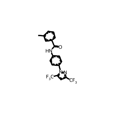 Cc1cccc(C(=O)Nc2ccc(-n3nc(C(F)(F)F)cc3C(F)(F)F)cc2)c1